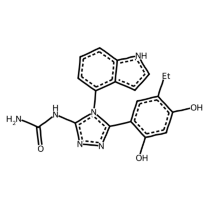 CCc1cc(-c2nnc(NC(N)=O)n2-c2cccc3[nH]ccc23)c(O)cc1O